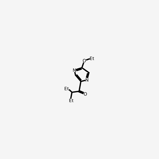 CCOc1cnc(C(=O)C(CC)CC)cn1